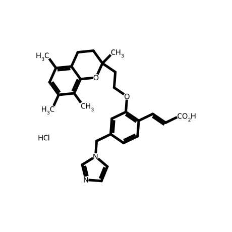 Cc1cc(C)c2c(c1C)OC(C)(CCOc1cc(Cn3ccnc3)ccc1C=CC(=O)O)CC2.Cl